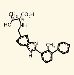 Cc1c(-c2ccccc2)cccc1-c1nc2cc(CN[C@@H](C(=O)O)[C@H](C)O)ccc2[nH]1